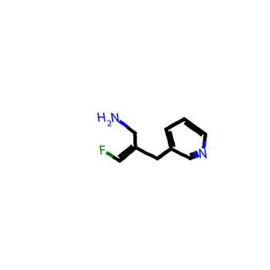 NC/C(=C\F)Cc1cccnc1